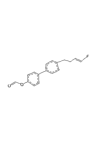 O=COc1ccc(-c2ccc(CCC=CF)cc2)cc1